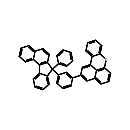 c1ccc(C2(c3cccc(-c4cc5c6c(cccc6c4)Oc4ccccc4-5)c3)c3ccccc3-c3c2ccc2ccccc32)cc1